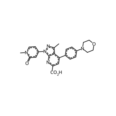 Cc1nn(-c2ccn(C)c(=O)c2)c2nc(C(=O)O)cc(-c3ccc(N4CCOCC4)cc3)c12